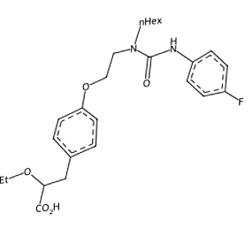 CCCCCCN(CCOc1ccc(CC(OCC)C(=O)O)cc1)C(=O)Nc1ccc(F)cc1